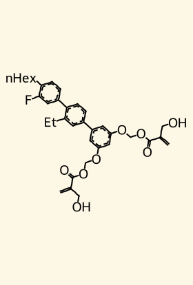 C=C(CO)C(=O)OCOc1cc(OCOC(=O)C(=C)CO)cc(-c2ccc(-c3ccc(CCCCCC)c(F)c3)c(CC)c2)c1